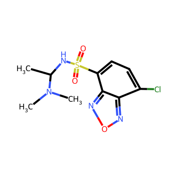 CC(NS(=O)(=O)c1ccc(Cl)c2nonc12)N(C)C